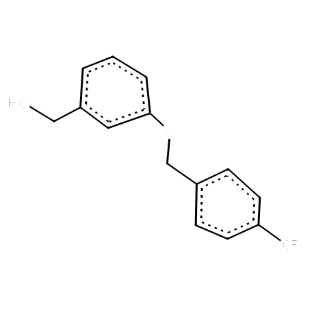 OCc1cccc(OCc2ccc(C(F)(F)F)cc2)c1